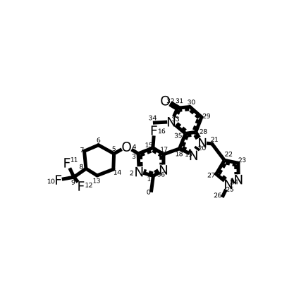 Cc1nc(OC2CCC(C(F)(F)F)CC2)c(F)c(-c2nn(Cc3cnn(C)c3)c3ccc(=O)n(C)c23)n1